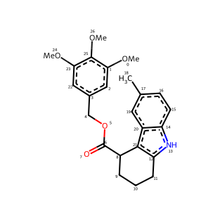 COc1cc(COC(=O)C2CCCc3[nH]c4ccc(C)cc4c32)cc(OC)c1OC